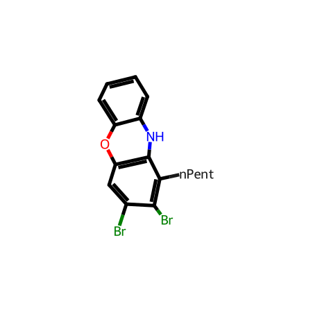 CCCCCc1c(Br)c(Br)cc2c1Nc1ccccc1O2